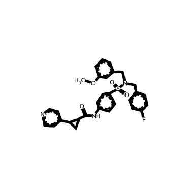 COc1cccc(CN(Cc2ccc(F)cc2)S(=O)(=O)c2ccc(NC(=O)C3CC3c3ccncc3)cc2)c1